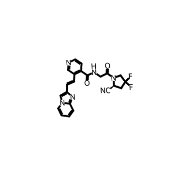 N#C[C@@H]1CC(F)(F)CN1C(=O)CNC(=O)c1ccncc1/C=C/c1cn2ccccc2n1